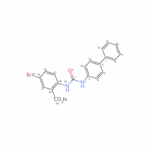 O=C(Nc1ccc(-c2ccccc2)cc1)Nc1ccc(Br)cc1C(=O)O